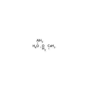 O.O.[AlH3].[CaH2]